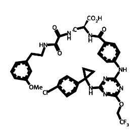 COc1cccc(CCNC(=O)C(=O)NC[C@H](NC(=O)c2ccc(Nc3nc(NC4(c5ccc(Cl)cc5)CC4)nc(OCC(F)(F)F)n3)cc2)C(=O)O)c1